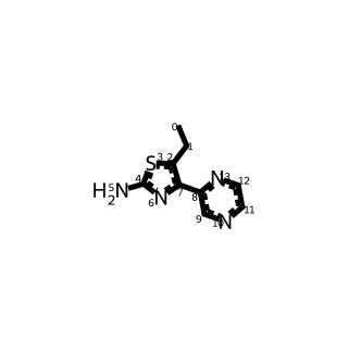 CCc1sc(N)nc1-c1cnccn1